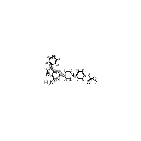 COC(=O)Cc1ccc(N2CCN(c3nc(N)c4ncn(-c5ccncc5)c4n3)CC2)cc1